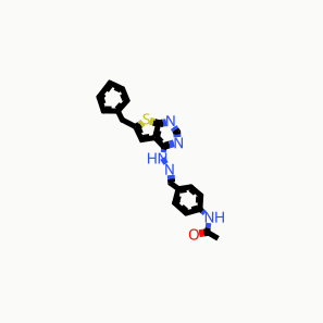 CC(=O)Nc1ccc(/C=N/Nc2ncnc3sc(Cc4ccccc4)cc23)cc1